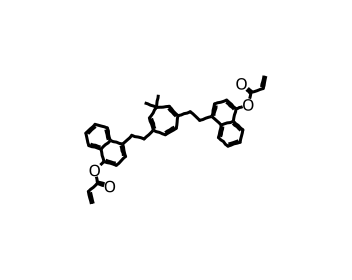 C=CC(=O)Oc1ccc(CCC2=CC(C)(C)C=C(CCc3ccc(OC(=O)C=C)c4ccccc34)C=C2)c2ccccc12